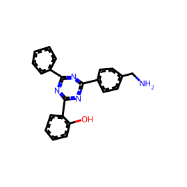 NCc1ccc(-c2nc(-c3ccccc3)nc(-c3ccccc3O)n2)cc1